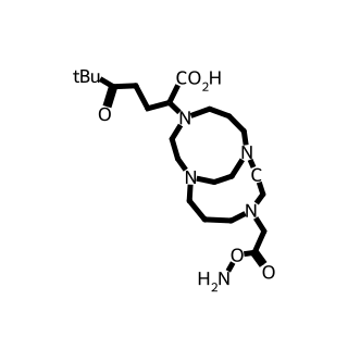 CC(C)(C)C(=O)CCC(C(=O)O)N1CCCN2CCN(CCCN(CC(=O)ON)CC2)CC1